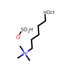 CCCCCCCCCCCCC[N+](C)(C)C.O=S(=O)([O-])O